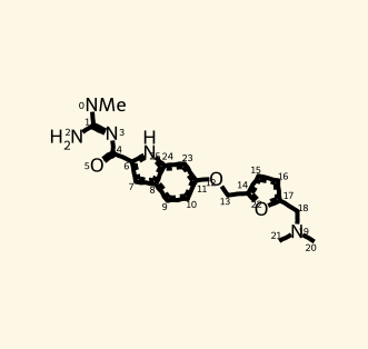 CNC(N)=NC(=O)c1cc2ccc(OCc3ccc(CN(C)C)o3)cc2[nH]1